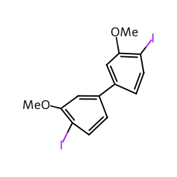 COc1cc(-c2ccc(I)c(OC)c2)ccc1I